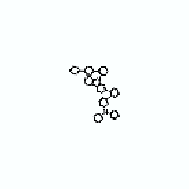 c1ccc(-c2ccc(-c3ccccc3-n3c4ccccc4c4ccc(-c5ccccc5-c5cccc(N(c6ccccc6)c6ccccc6)c5)cc43)cc2)cc1